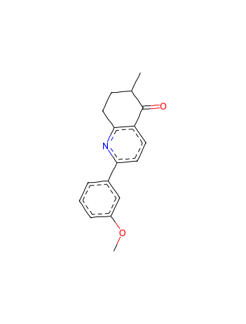 COc1cccc(-c2ccc3c(n2)CCC(C)C3=O)c1